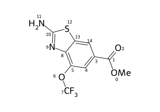 COC(=O)c1cc(OC(F)(F)F)c2nc(N)sc2c1